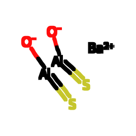 [Ba+2].[O-][Al]=[S].[O-][Al]=[S]